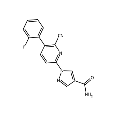 N#Cc1nc(-n2cc(C(N)=O)cn2)ccc1-c1ccccc1F